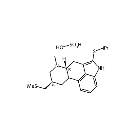 CSC[C@@H]1CC2c3cccc4[nH]c(SC(C)C)c(c34)C[C@H]2N(C)C1.O=S(=O)(O)O